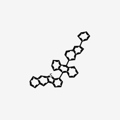 c1ccc(-c2ccc3cc(-c4c5ccccc5c(-c5cccc6c5sc5cc7ccccc7cc56)c5ccccc45)ccc3c2)cc1